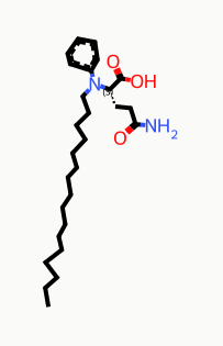 CCCCCCCCCCCCCCCCN(c1ccccc1)[C@@H](CCC(N)=O)C(=O)O